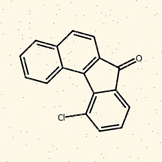 O=C1c2cccc(Cl)c2-c2c1ccc1ccccc21